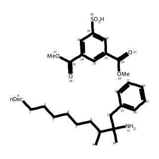 CCCCCCCCCCCCCCCCC(C)C(C)(N)Cc1ccccc1.COC(=O)c1cc(C(=O)OC)cc(S(=O)(=O)O)c1